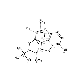 CCCC(C)(O)C1CC23C=CC1(OC)C1Oc4c(O)ccc5c4[C@@]12CCN(C)[C@@H]3C5